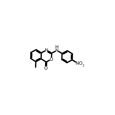 Cc1cccc2nc(Nc3ccc([N+](=O)[O-])cc3)oc(=O)c12